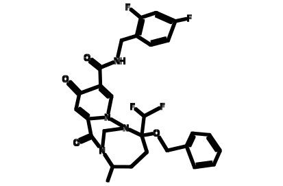 CC1CCC(OCc2ccccc2)(C(F)F)N2CN1C(=O)c1cc(=O)c(C(=O)NCc3ccc(F)cc3F)cn12